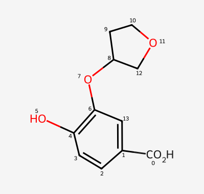 O=C(O)c1ccc(O)c(OC2CCOC2)c1